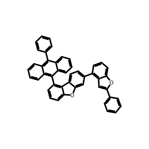 c1ccc(-c2cc3c(-c4ccc5c(c4)oc4cccc(-c6c7ccccc7c(-c7ccccc7)c7ccccc67)c45)cccc3o2)cc1